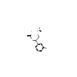 Cc1cccc(C(COS(C)(=O)=O)NC(=O)OC(C)(C)C)c1